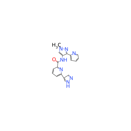 Cn1cc(NC(=O)c2cccc(-c3cn[nH]c3)n2)c(-c2ccccn2)n1